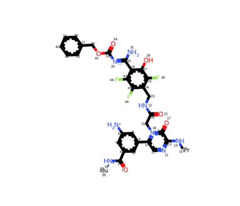 CC[C@@H](C)NC(=O)c1cc(N)cc(-c2cnc(NC(C)C)c(=O)n2CC(=O)NCc2c(F)c(O)c(/C(N)=N/C(=O)OCc3ccccc3)c(F)c2F)c1